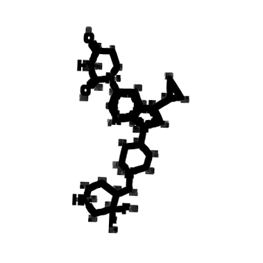 O=C1CCN(c2cnc3c(c2)c(C2CC2)cn3C2CCN(CC3CCNCC3(F)F)CC2)C(=O)N1